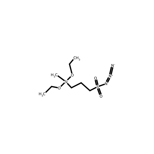 CCO[Si](C)(CCCS(=O)(=O)N=[N+]=[N-])OCC